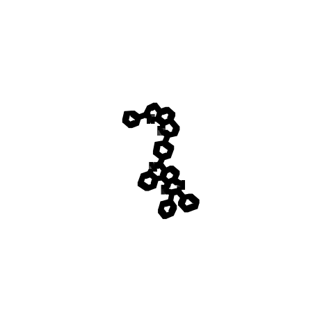 c1ccc(-c2ccc3ccc4ccc(-c5ccc(-c6nc7ccccc7c7c6ccc6nc(-c8ccccc8)c(-c8ccccc8)nc67)cc5)nc4c3n2)cc1